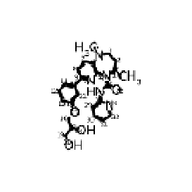 C[C@@H]1CCN(C)c2ccc(-c3cccc(OC[C@@H](O)CO)c3)nc2N1C(=O)Nc1ccccn1